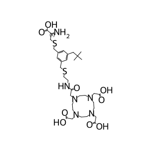 CC(C)(C)Cc1cc(CSCCNC(=O)CN2CCN(CC(=O)O)CCN(CC(=O)O)CCN(CC(=O)O)CC2)cc(CSC[C@H](N)C(=O)O)c1